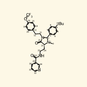 CN1C(c2ccc(C(C)(C)C)cc2)N(CCc2ccc(OC(F)(F)F)cc2)C(=O)[C@@H]1CCNC(=O)c1cccnc1